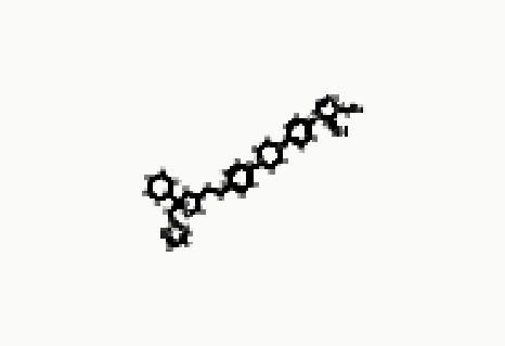 CCC(C)n1ncn(-c2ccc(N3CCN(c4ccc(CCC5COC(Cn6nccn6)(C6CCCCC6)C5)cc4)CC3)cc2)c1=N